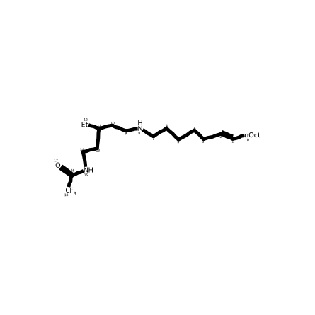 CCCCCCCCC=CCCCCCNCCC(CC)CCNC(=O)C(F)(F)F